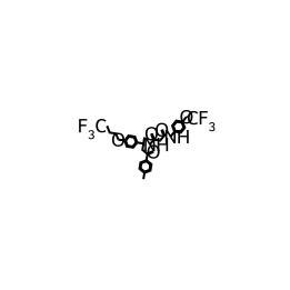 Cc1ccc(C(=O)CC(C)(NC(=O)CC(=O)Nc2ccc(OC(F)(F)F)cc2)c2ccc(OCCCC(F)(F)F)cc2)cc1